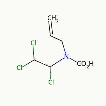 C=CCN(C(=O)O)C(Cl)C(Cl)Cl